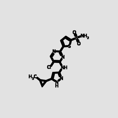 CC1CC1c1cc(Nc2nc(-c3ccc(S(N)(=O)=O)s3)ncc2Cl)n[nH]1